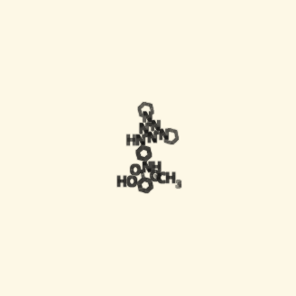 COc1cccc(O)c1C(=O)Nc1ccc(Nc2nc(N3CCCCC3)nc(N3CCCCC3)n2)cc1